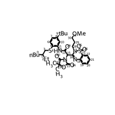 CCCCC(CC)CSc1ccc(C(C)(C)C)cc1NC(=O)C(C1=Nc2ccccc2S(=O)(=O)N1CCCOC)N1C(=O)OC(C)(C)C1=O